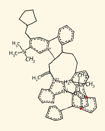 C=C1CC2C(CCc3ccc4c(oc5ccccc54)c3-c3n(-c4c(-c5ccccc5)cccc4C(C)(C)C)c4ccccc4[n+]31)c1ccccc1-c1cc(CC3CCCC3)c([Si](C)(C)C)c[n+]12